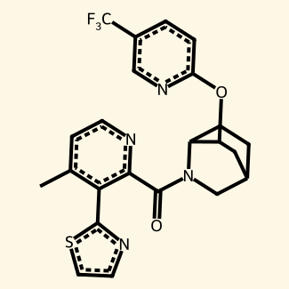 Cc1ccnc(C(=O)N2CC3CCC2C(Oc2ccc(C(F)(F)F)cn2)C3)c1-c1nccs1